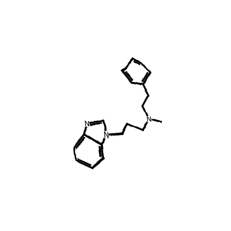 CN(CCCn1cnc2ccccc21)CCc1ccccc1